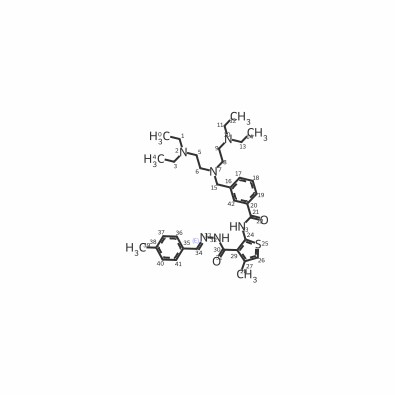 CCN(CC)CCN(CCN(CC)CC)Cc1cccc(C(=O)Nc2scc(C)c2C(=O)N/N=C/c2ccc(C)cc2)c1